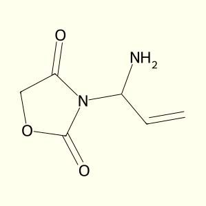 C=CC(N)N1C(=O)COC1=O